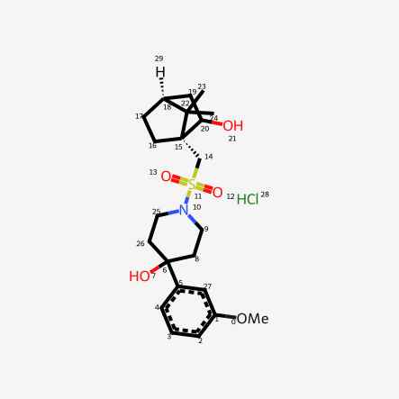 COc1cccc(C2(O)CCN(S(=O)(=O)C[C@@]34CC[C@@H](CC3O)C4(C)C)CC2)c1.Cl